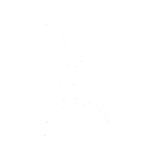 c1ccc(-c2ccc(-c3c4ccccc4c(-c4ccc(-c5nc(-c6ccc7ccccc7c6)nc(-c6ccc7ccccc7c6)n5)cc4)c4ccccc34)cc2)cc1